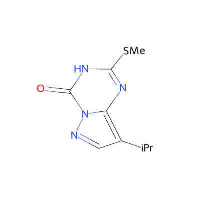 CSc1nc2c(C(C)C)cnn2c(=O)[nH]1